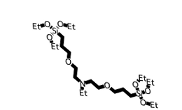 CCO[Si](CCCOCCN(CC)CCOCCC[Si](OCC)(OCC)OCC)(OCC)OCC